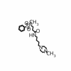 CN1CCN(CCCCNC(=O)CCN(C)S(=O)(=O)c2ccccc2)CC1